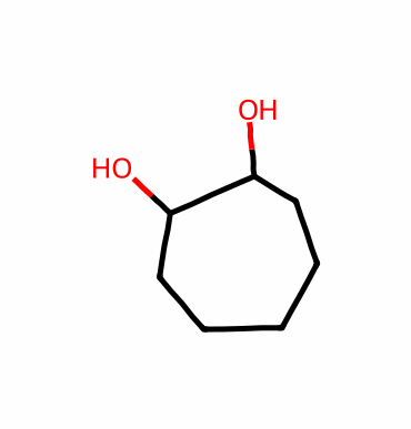 OC1CCCCCC1O